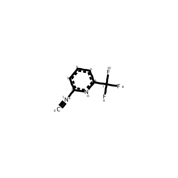 [C-]#[N+]c1cccc(C(F)(F)F)n1